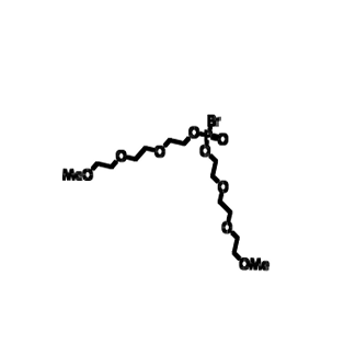 COCCOCCOCCOP(=O)(Br)OCCOCCOCCOC